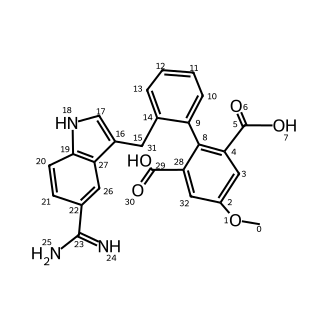 COc1cc(C(=O)O)c(-c2ccccc2Cc2c[nH]c3ccc(C(=N)N)cc23)c(C(=O)O)c1